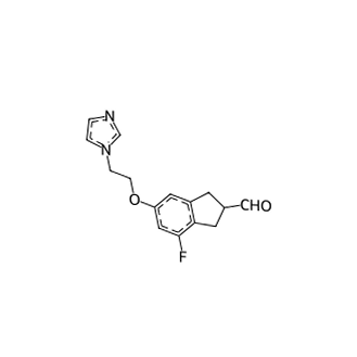 O=CC1Cc2cc(OCCn3ccnc3)cc(F)c2C1